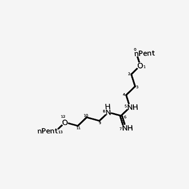 CCCCCOCCCNC(=N)NCCCOCCCCC